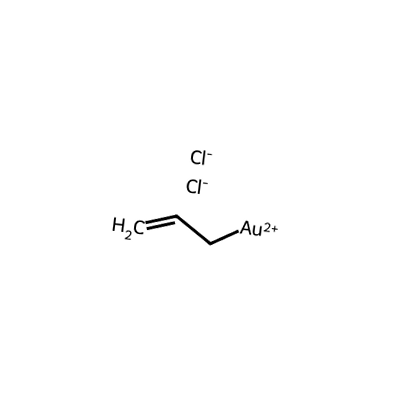 C=C[CH2][Au+2].[Cl-].[Cl-]